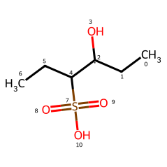 CC[C](O)C(CC)S(=O)(=O)O